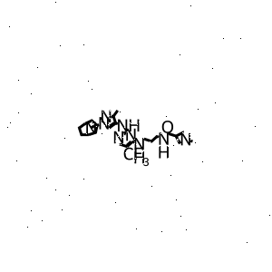 Cc1nn(C2CC3CCC(C2)N3C)cc1Nc1ncc(C(F)(F)F)c(NCCCNC(=O)C2CN(C)C2)n1